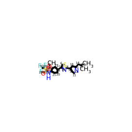 COc1cc(-c2csc(-c3ccnc(CC(C)C)c3)n2)ccc1NS(=O)(=O)C(F)(F)F